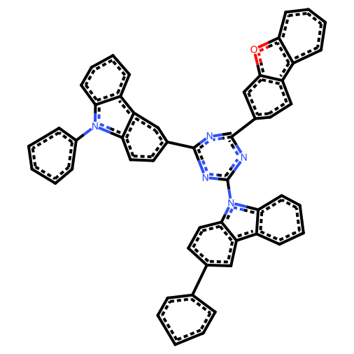 c1ccc(-c2ccc3c(c2)c2ccccc2n3-c2nc(-c3ccc4c(c3)oc3ccccc34)nc(-c3ccc4c(c3)c3ccccc3n4-c3ccccc3)n2)cc1